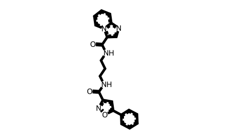 O=C(NCCCNC(=O)c1cnc2ccccn12)c1cc(-c2ccccc2)on1